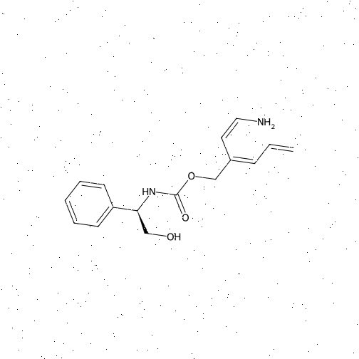 C=C/C=C(\C=C/N)COC(=O)N[C@@H](CO)c1ccccc1